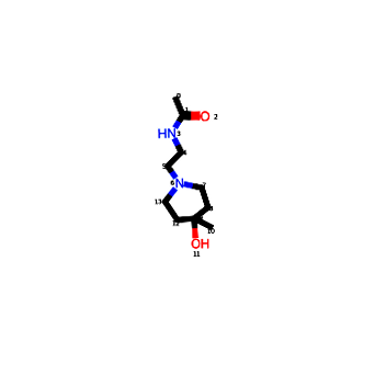 CC(=O)NCCN1CCC(C)(O)CC1